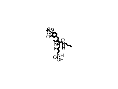 CCCCNC(=O)c1c(Cc2ccc(S(=O)(=O)N(C)C)c(Cl)c2)c(C)nn1C/C(F)=C/CNC(=O)O